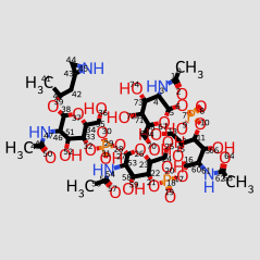 CC(=O)NC1C(OP(=O)(O)OC2C(CO)OC(OP(=O)(O)OC3C(CO)OC(OP(=O)(O)OC4C(CO)OC(OC(C)CC5CN5)C(NC(C)=O)C4O)C(NC(C)=O)C3O)C(NC(C)=O)C2O)OC(CO)C(O)C1O